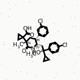 CN1C(=O)[C@](C)(C2(C(=O)O)CC2)C[C@H](c2cccc(Cl)c2)[C@@H]1C[C@@](O)(c1ccc(Cl)cc1)C1CC1